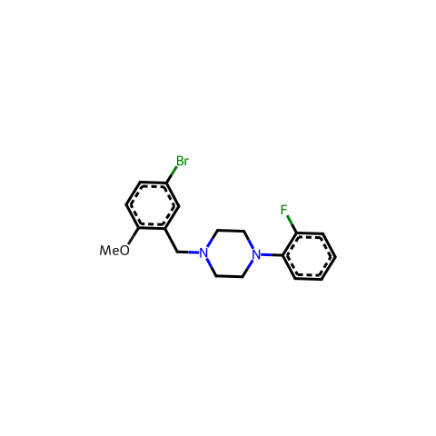 COc1ccc(Br)cc1CN1CCN(c2ccccc2F)CC1